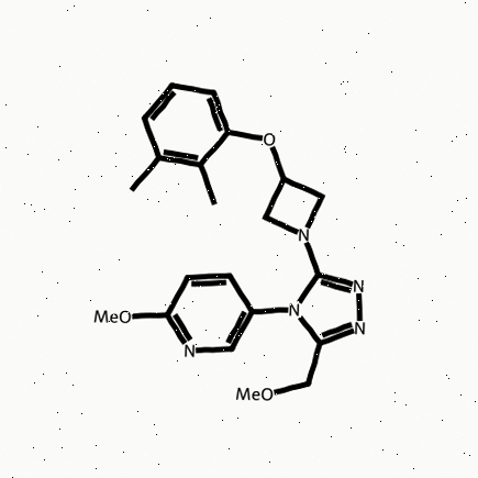 COCc1nnc(N2CC(Oc3cccc(C)c3C)C2)n1-c1ccc(OC)nc1